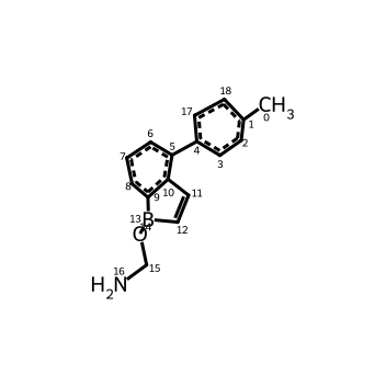 Cc1ccc(-c2cccc3c2C=CB3OCN)cc1